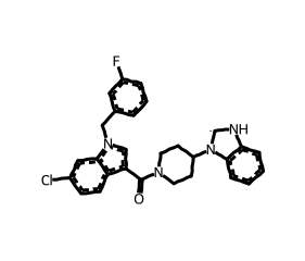 O=C(c1cn(Cc2cccc(F)c2)c2cc(Cl)ccc12)N1CCC(N2[CH]Nc3ccccc32)CC1